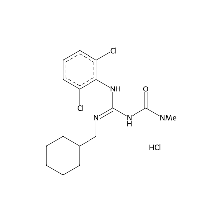 CNC(=O)NC(=NCC1CCCCC1)Nc1c(Cl)cccc1Cl.Cl